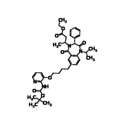 CCOC(=O)CC(C)N1C(=O)c2cc(CCCCOc3cccnc3NC(=O)OC(C)(C)C)ccc2N(C(C)C)C(=O)C1c1ccccc1